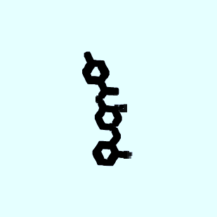 Cc1ccc(C(=O)OC2CCN(Cc3ccccc3Br)CC2)cc1.Cl